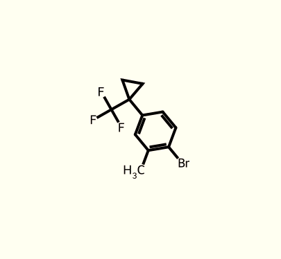 Cc1cc(C2(C(F)(F)F)CC2)ccc1Br